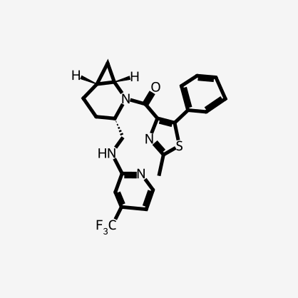 Cc1nc(C(=O)N2[C@H](CNc3cc(C(F)(F)F)ccn3)CC[C@@H]3C[C@@H]32)c(-c2ccccc2)s1